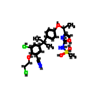 CC(Oc1ccc(C(C)(C)c2cc(Cl)c(OCCCl)c(C#N)c2)cc1)c1coc(NS(C)(=O)=O)n1